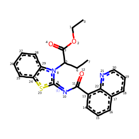 CCOC(=O)C(CC)n1/c(=N\C(=O)c2cccc3cccnc23)sc2ccccc21